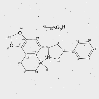 CC1(N2CCC(c3ccccc3)C2)CCCc2c1ccc1c2OCO1.CS(=O)(=O)O